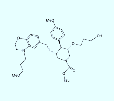 COCCCN1CCOc2ccc(CO[C@H]3CN(C(=O)OC(C)(C)C)C[C@@H](OCCCO)[C@@H]3c3ccc(OC)cc3)cc21